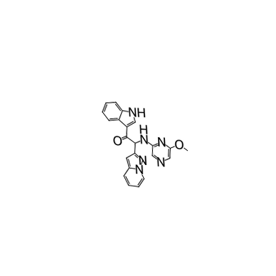 COc1cncc(NC(C(=O)c2c[nH]c3ccccc23)c2cc3ccccn3n2)n1